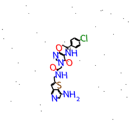 Nc1cncc2cc(CNC(=O)Cn3cnc4c(c3=O)N[C@H](c3ccc(Cl)cc3)CO4)sc12